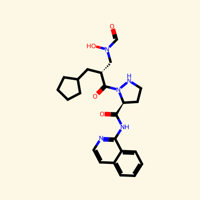 O=CN(O)C[C@@H](CC1CCCC1)C(=O)N1NCC[C@H]1C(=O)Nc1nccc2ccccc12